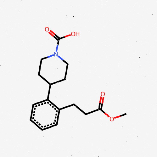 COC(=O)CCc1ccccc1C1CCN(C(=O)O)CC1